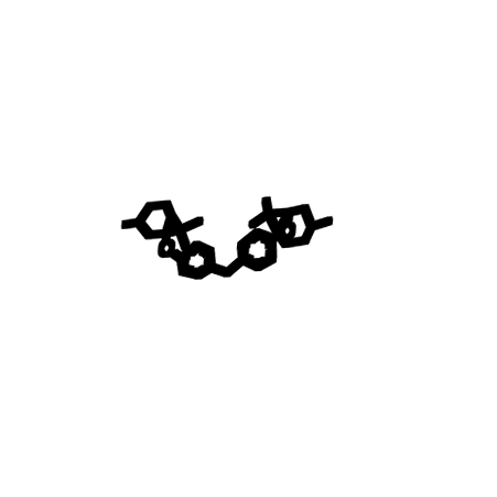 CC1CCC2C(C)(C)C2(Oc2ccc(Cc3ccc(OC45CC(C)CCC4C5(C)C)cc3)cc2)C1